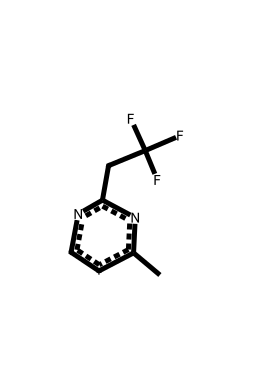 Cc1[c]cnc(CC(F)(F)F)n1